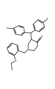 O=C1CCN(Cc2ccccc2OCF)CC1C(c1ccc(F)cc1)c1ccc(F)cc1